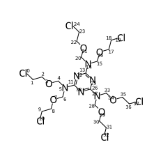 ClCCOCN(COCCCl)c1nc(N(COCCCl)COCCCl)nc(N(COCCCl)COCCCl)n1